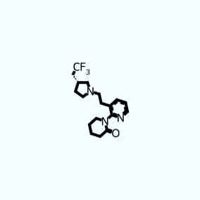 O=C1CCCCN1c1ncccc1CCN1CC[C@H](CC(F)(F)F)C1